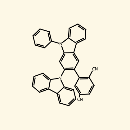 N#Cc1ccc(C#N)c(-c2cc3c4ccccc4n(-c4ccccc4)c3cc2-n2c3ccccc3c3ccccc32)c1